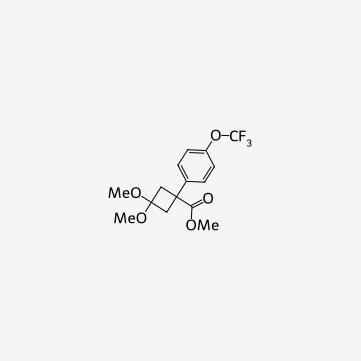 COC(=O)C1(c2ccc(OC(F)(F)F)cc2)CC(OC)(OC)C1